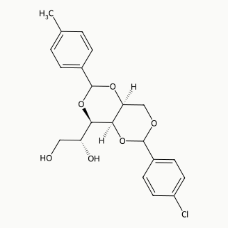 Cc1ccc(C2O[C@H]([C@H](O)CO)[C@@H]3OC(c4ccc(Cl)cc4)OC[C@@H]3O2)cc1